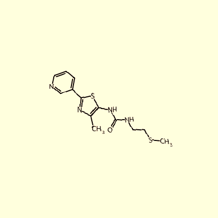 CSCCNC(=O)Nc1sc(-c2cccnc2)nc1C